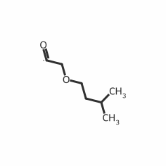 CC(C)CCOC[C]=O